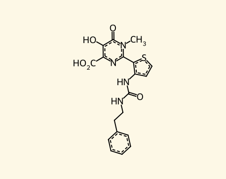 Cn1c(-c2sccc2NC(=O)NCCc2ccccc2)nc(C(=O)O)c(O)c1=O